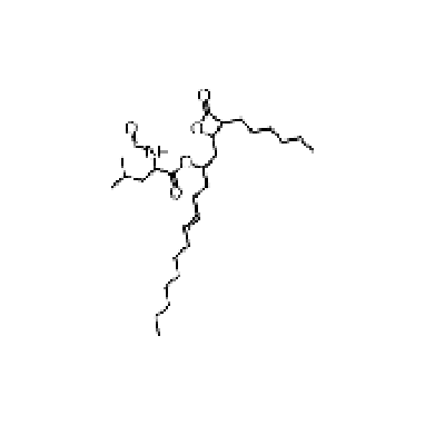 CCCCCCC/C=C/CCC(CC1OC(=O)C1CCCCCC)OC(=O)C(CC(C)C)NC=O